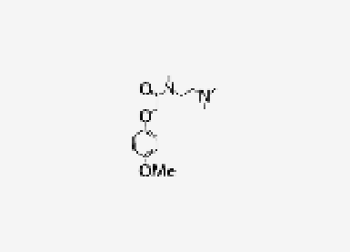 COc1ccc(OCC(=O)N(C)CCN(C)C)cc1